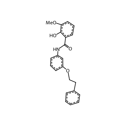 COc1cccc(C(=O)Nc2cccc(OCCc3ccccc3)c2)c1O